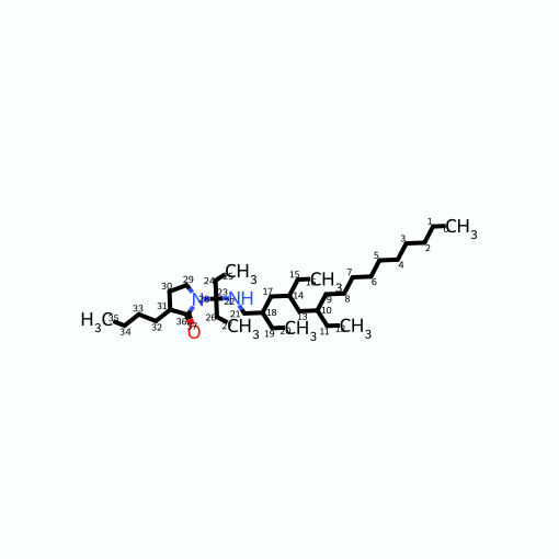 CCCCCCCCCCC(CC)CC(CC)CC(CC)CNC(CC)(CC)N1CCC(CCCC)C1=O